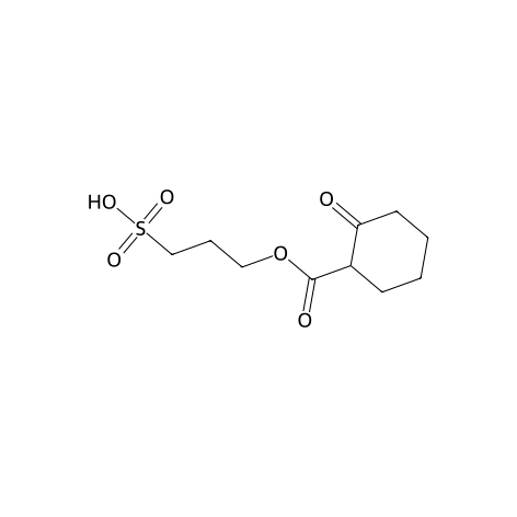 O=C1CCCCC1C(=O)OCCCS(=O)(=O)O